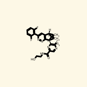 Cc1ncc(C(=O)NCCO)nc1[C@@]12CC[C@@H](c3cc(-c4c(F)cccc4F)nnc31)C2(C)C